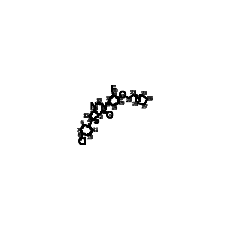 O=c1c2sc(-c3ccc(Cl)cc3)cc2ncn1-c1ccc(OCCN2CCCC2)c(F)c1